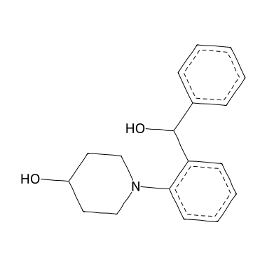 OC1CCN(c2ccccc2C(O)c2ccccc2)CC1